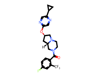 O=C(c1ccc(F)cc1C(F)(F)F)N1CCN2C[C@H](Oc3cnc(C4CC4)cn3)C[C@H]2C1